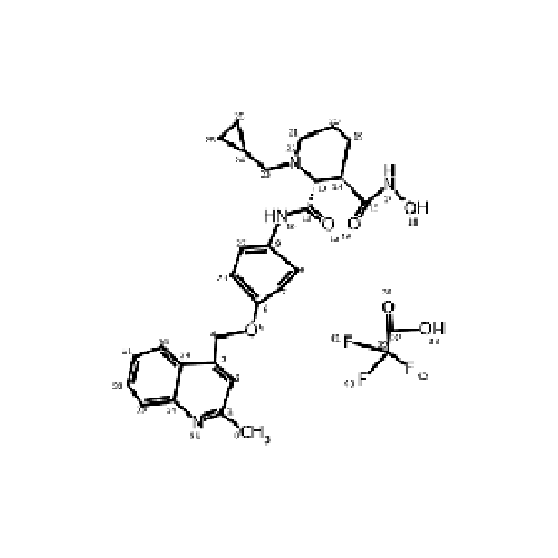 Cc1cc(COc2ccc(NC(=O)[C@H]3[C@H](C(=O)NO)CCCN3CC3CC3)cc2)c2ccccc2n1.O=C(O)C(F)(F)F